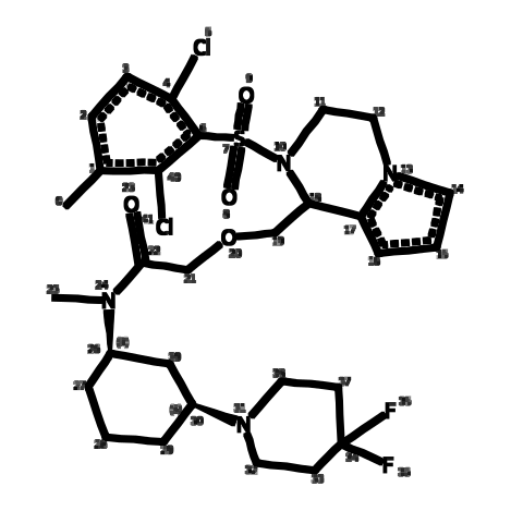 Cc1ccc(Cl)c(S(=O)(=O)N2CCn3cccc3C2COCC(=O)N(C)[C@@H]2CCC[C@H](N3CCC(F)(F)CC3)C2)c1Cl